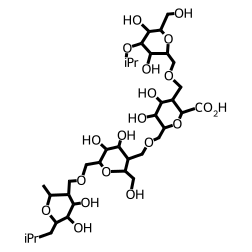 CC(C)CC1OC(C)C(COCC2OC(CO)C(COCC3OC(C(=O)O)C(COCC4OC(CO)C(O)C(OC(C)C)C4O)C(O)C3O)C(O)C2O)C(O)C1O